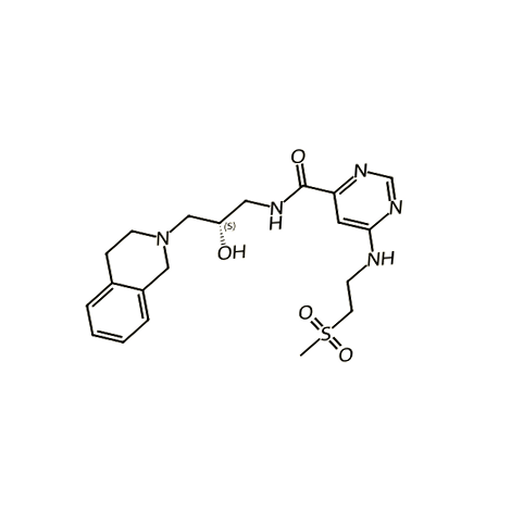 CS(=O)(=O)CCNc1cc(C(=O)NC[C@H](O)CN2CCc3ccccc3C2)ncn1